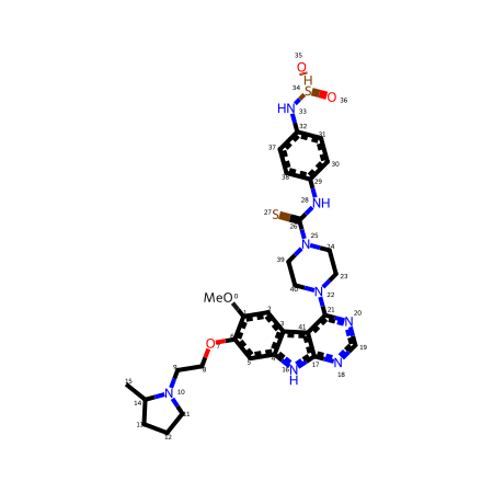 COc1cc2c(cc1OCCN1CCCC1C)[nH]c1ncnc(N3CCN(C(=S)Nc4ccc(N[SH](=O)=O)cc4)CC3)c12